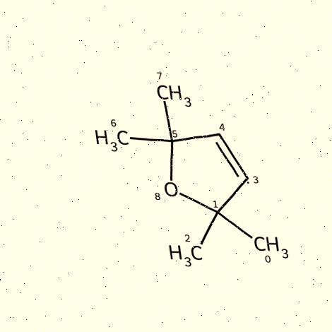 CC1(C)[C]=CC(C)(C)O1